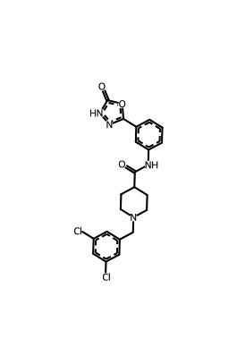 O=C(Nc1cccc(-c2n[nH]c(=O)o2)c1)C1CCN(Cc2cc(Cl)cc(Cl)c2)CC1